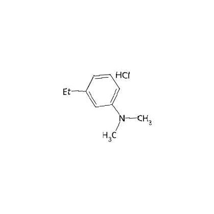 CCc1cccc(N(C)C)c1.Cl